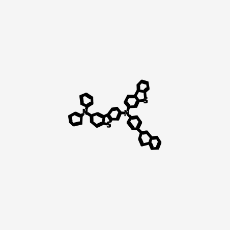 c1ccc(N(c2ccccc2)c2ccc3sc4cc(N(c5ccc(-c6ccc7ccccc7c6)cc5)c5ccc6c(c5)sc5ccccc56)ccc4c3c2)cc1